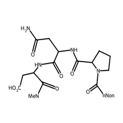 CCCCCCCCCC(=O)N1CCCC1C(=O)NC(CC(N)=O)C(=O)NC(CC(=O)O)C(=O)NC